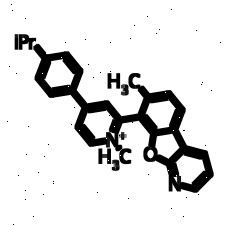 Cc1ccc2c(oc3ncccc32)c1-c1cc(-c2ccc(C(C)C)cc2)cc[n+]1C